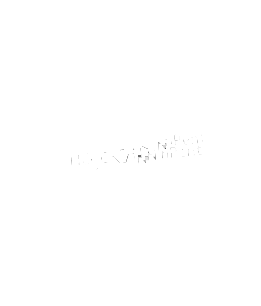 CCCCCN(CCCCC)Cc1cn(-c2ccc(C(=O)O)cc2)nn1